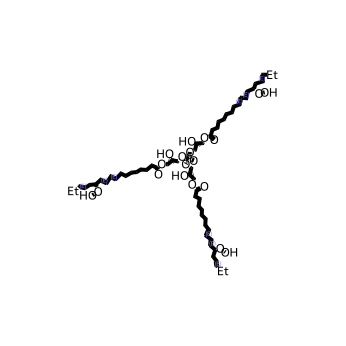 CC/C=C/CC(/C=C/C=C/CCCCCCCC(=O)OC[C@H](O)COP(=O)(OC[C@@H](O)COC(=O)CCCCCCC/C=C/C=C/C(C/C=C/CC)OO)OC[C@@H](O)COC(=O)CCCCCCC/C=C/C=C/C(C/C=C/CC)OO)OO